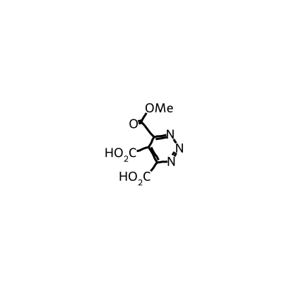 COC(=O)c1nnnc(C(=O)O)c1C(=O)O